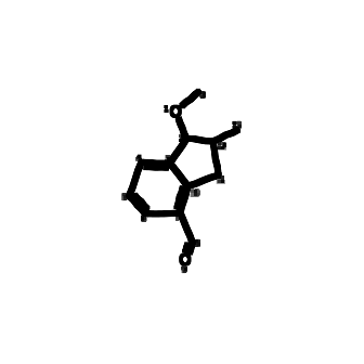 COC1c2cccc(C=O)c2CC1C